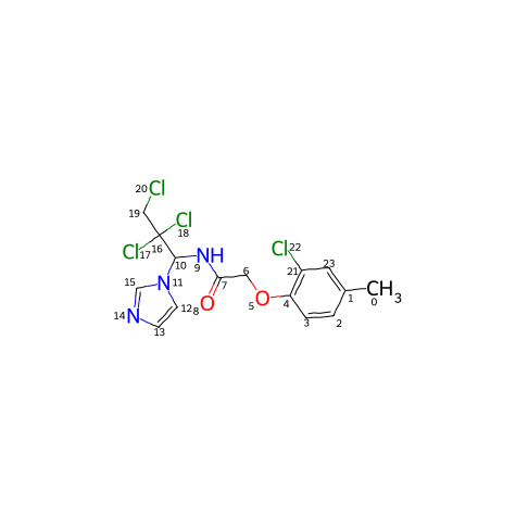 Cc1ccc(OCC(=O)NC(n2ccnc2)C(Cl)(Cl)CCl)c(Cl)c1